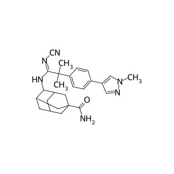 Cn1cc(-c2ccc(C(C)(C)/C(=N\C#N)NC3C4CC5CC3CC(C(N)=O)(C5)C4)cc2)cn1